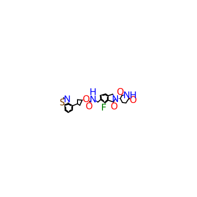 O=C1CC[C@H](N2Cc3ccc(CNC(=O)OC4CC(c5cccc6scnc56)C4)c(F)c3C2=O)C(=O)N1